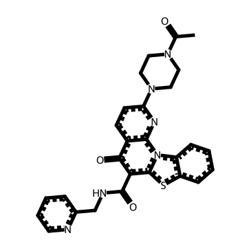 CC(=O)N1CCN(c2ccc3c(=O)c(C(=O)NCc4ccccn4)c4sc5ccccc5n4c3n2)CC1